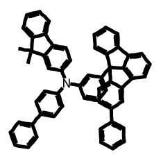 CC1(C)c2ccccc2-c2ccc(N(c3ccc(-c4ccccc4)cc3)c3cccc(C45c6ccccc6-c6cccc(c64)-c4cc(-c6ccccc6)ccc45)c3)cc21